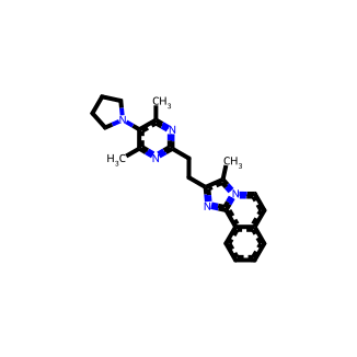 Cc1nc(CCc2nc3c4ccccc4ccn3c2C)nc(C)c1N1CCCC1